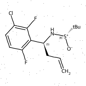 C=CC[C@H](N[S@@+]([O-])C(C)(C)C)c1c(F)ccc(Cl)c1F